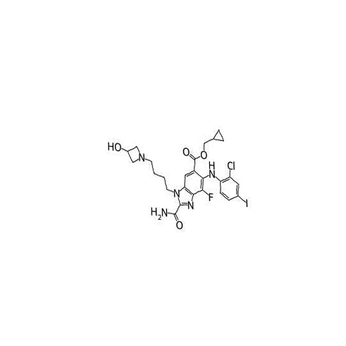 NC(=O)c1nc2c(F)c(Nc3ccc(I)cc3Cl)c(C(=O)OCC3CC3)cc2n1CCCCN1CC(O)C1